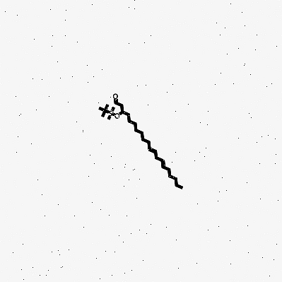 CCCCCC=CCC=CCCCCCCCC(CC=O)O[Si](C)(C)C(C)(C)C